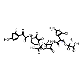 CC(C)(O/N=C(\C(=O)NC1C(=O)N2C[C@@](C(=O)O)(N3CCN(NC(=O)C(=O)c4ccc(O)cc4Cl)C(=O)C3=O)S[C@H]12)c1nc(N)sc1Cl)C(=O)O